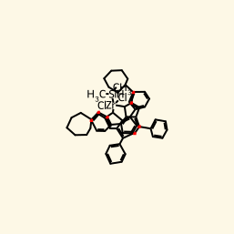 C[SiH](C)[Zr]([Cl])([Cl])([CH]1C(CC2CCCCCC2)=Cc2c(-c3ccccc3)ccc(-c3ccccc3)c21)[CH]1C(CC2CCCCCC2)=Cc2c(-c3ccccc3)ccc(-c3ccccc3)c21